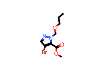 CCCOCn1ncc(Br)c1C(=O)OC